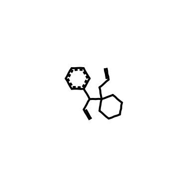 C=CCC1(C(C=C)c2ccccc2)CCCCC1